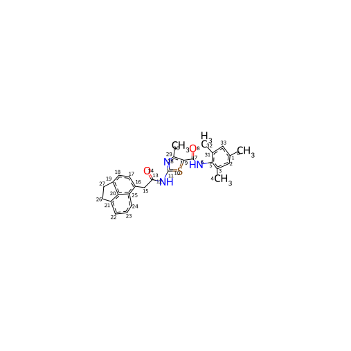 Cc1cc(C)c(NC(=O)c2sc(NC(=O)Cc3ccc4c5c(cccc35)CC4)nc2C)c(C)c1